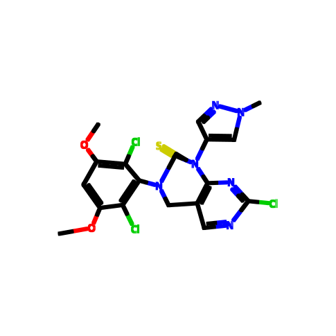 COc1cc(OC)c(Cl)c(N2Cc3cnc(Cl)nc3N(c3cnn(C)c3)C2=S)c1Cl